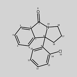 O=C1c2ccccc2C2(c3ccccc3Cl)CCCN12